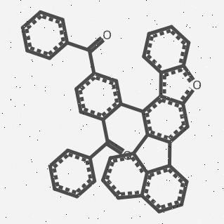 O=C(c1ccccc1)c1ccc(C(=O)c2ccccc2)c(-c2c3c(cc4oc5ccccc5c24)-c2cccc4cccc-3c24)c1